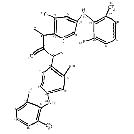 CC(C(=O)C(C)c1ncc(Nc2c(F)cccc2C(F)(F)F)cc1F)c1ncc(Nc2c(F)cccc2C(F)(F)F)cc1F